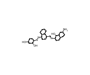 Nc1ccc2ccc(N=Nc3ccc(N=Nc4ccc(O)cc4O)c4ccccc34)c(O)c2c1